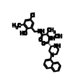 Cc1cc(Cl)cc(CNC(=O)C(C)NC(=O)[C@H]2CN(c3cccc4ccccc34)CCN2)c1O.Cl